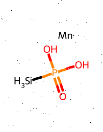 O=P(O)(O)[SiH3].[Mn]